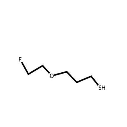 FCCOCCCS